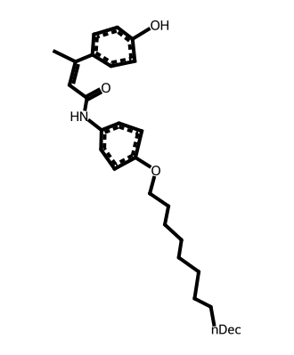 CCCCCCCCCCCCCCCCCCOc1ccc(NC(=O)C=C(C)c2ccc(O)cc2)cc1